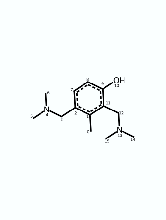 Cc1c(CN(C)C)ccc(O)c1CN(C)C